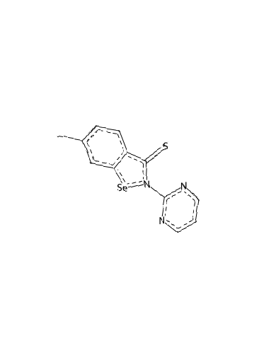 Cc1ccc2c(=S)n(-c3ncccn3)[se]c2c1